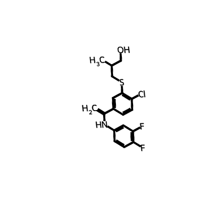 C=C(Nc1ccc(F)c(F)c1)c1ccc(Cl)c(SCC(C)CO)c1